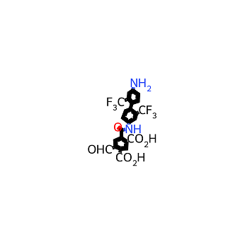 Nc1ccc(-c2ccc(NC(=O)c3cc(C=O)c(C(=O)O)cc3C(=O)O)cc2C(F)(F)F)c(C(F)(F)F)c1